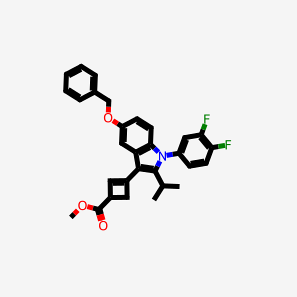 COC(=O)C1C=C(c2c(C(C)C)n(-c3ccc(F)c(F)c3)c3ccc(OCc4ccccc4)cc23)C1